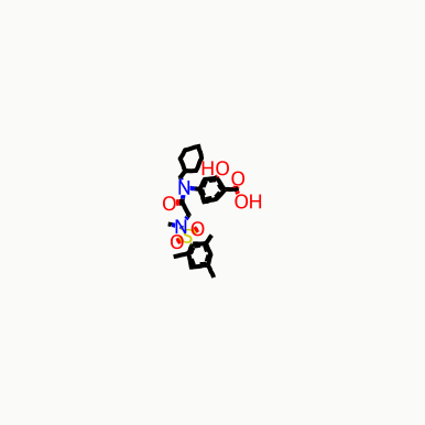 Cc1cc(C)c(S(=O)(=O)N(C)CC(=O)N(CC2CCCCC2)c2ccc(C(=O)O)c(O)c2)c(C)c1